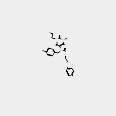 Cn1c(=O)n(CCO)c(=O)c2c1nc(OCCOc1ccc(OC(F)(F)F)cc1)n2Cc1ccc(Cl)cc1